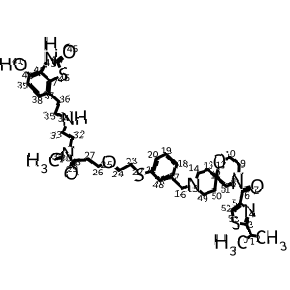 CC(C)c1nc(C(=O)N2CCOC3(CCN(Cc4cccc(SCCOCCC(=O)N(C)CCNCCc5ccc(O)c6[nH]c(=O)sc56)c4)CC3)C2)cs1